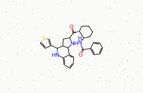 O=C(N[C@@H]1CCCC[C@@H]1C(=O)C1CC2C(c3ccsc3)Nc3ccccc3C2N1)c1ccccc1